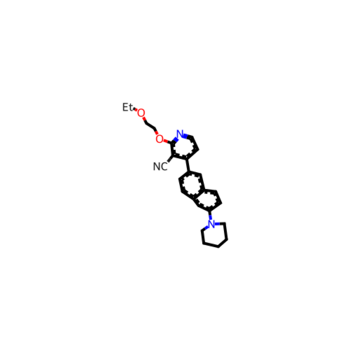 CCOCCOc1nccc(-c2ccc3cc(N4CCCCC4)ccc3c2)c1C#N